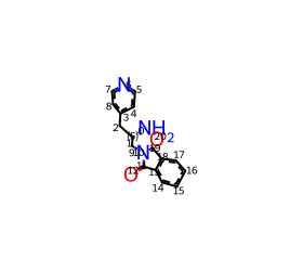 N[C@@H](Cc1ccncc1)CN1C(=O)c2ccccc2C1=O